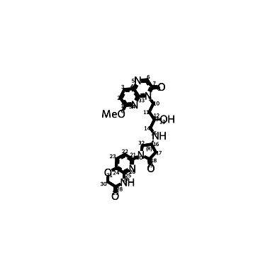 COc1ccc2ncc(=O)n(CC[C@@H](O)CN[C@@H]3CC(=O)N(c4ccc5c(n4)NC(=O)CO5)C3)c2n1